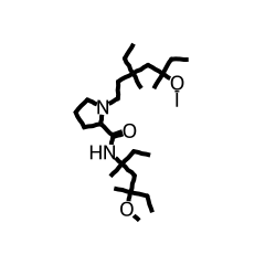 CCC(C)(CCN1CCCC1C(=O)NC(C)(CC)CC(C)(CC)OC)CC(C)(CC)OI